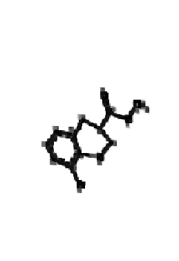 COC(=O)C1COc2c(Br)cccc2C1